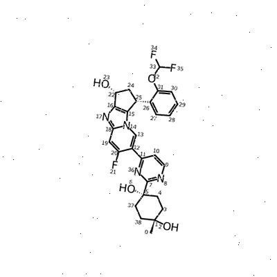 C[C@]1(O)CC[C@](O)(c2nccc(-c3cn4c5c(nc4cc3F)[C@H](O)C[C@@H]5c3ccccc3OC(F)F)n2)CC1